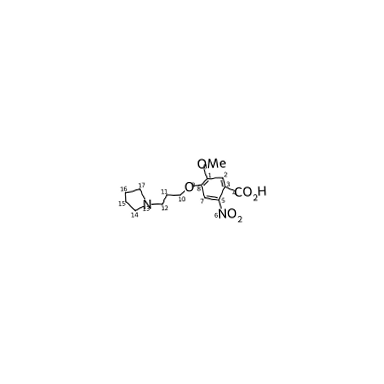 COc1cc(C(=O)O)c([N+](=O)[O-])cc1OCCCN1CCCC1